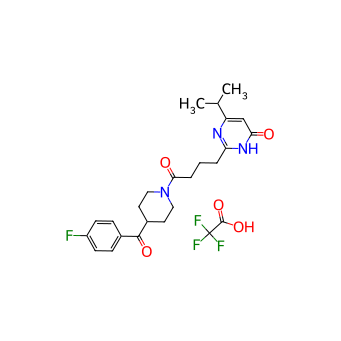 CC(C)c1cc(=O)[nH]c(CCCC(=O)N2CCC(C(=O)c3ccc(F)cc3)CC2)n1.O=C(O)C(F)(F)F